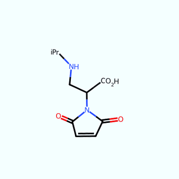 CC(C)NCC(C(=O)O)N1C(=O)C=CC1=O